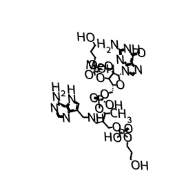 COC1C(OP(=O)(O)OCCCO)[C@@H](COP(=O)(O)OC(C)[C@H](CNCc2c[nH]c3c(N)ncnc23)COP(=O)(O)OCCCO)O[C@H]1n1cnc2c(=O)[nH]c(N)nc21